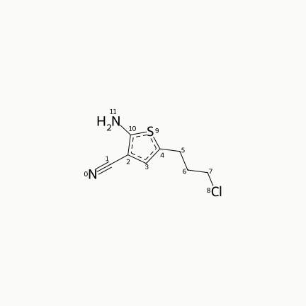 N#Cc1cc(CCCCl)sc1N